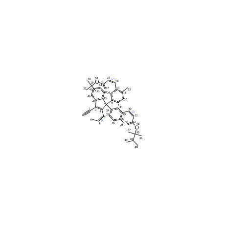 C#CC1=C(/C=C\C)C(c2ccc(C)c(/C=C\C(=C)OC(C)(C)C)c2)(c2ccc(C)c(/C=C\C(=C)OC(C)(C)C(C)C)c2)c2ccccc21